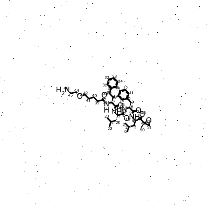 CC(C)CC(NC(=O)[C@H](Cc1ccccc1)NC(=O)[C@H](CC(C)C)NC(=O)[C@H](CCc1ccccc1)NC(=O)CCCCOCCN)C(=O)[C@@]1(C)CO1